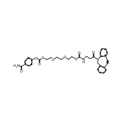 NC(=O)c1ccc(OC(=O)OCCOCCOCCOC(=O)NCCC(=O)N2Cc3ccccc3C#Cc3ccccc32)cc1